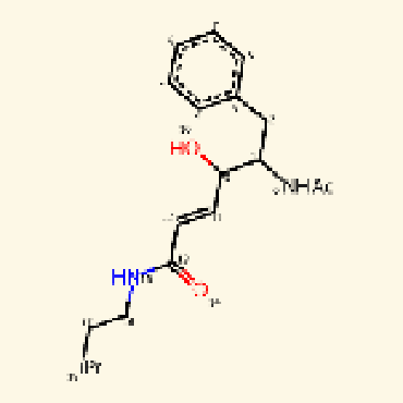 CC(=O)NC(Cc1ccccc1)C(O)C=CC(=O)NCCC(C)C